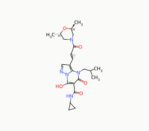 CC(C)Cn1c(=O)c(C(=O)NC2CC2)c(O)n2ncc(/C=C/C(=O)N3C[C@H](C)O[C@@H](C)C3)c12